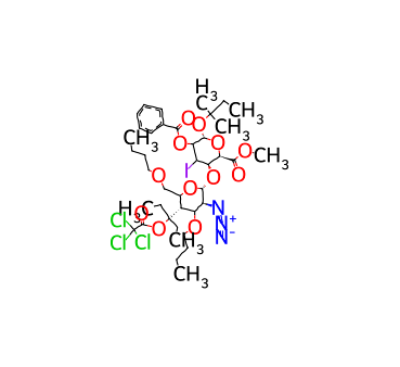 CCCCOCC1O[C@H](O[C@H]2C(I)C(OC(=O)c3ccccc3)[C@H](OC(C)(C)CC)O[C@H]2C(=O)OC)[C@@H](N=[N+]=[N-])C(OCCCC)[C@@H]1C(CC)(CC)OC(=O)C(Cl)(Cl)Cl